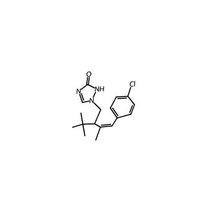 CC(=Cc1ccc(Cl)cc1)C(Cn1cnc(=O)[nH]1)C(C)(C)C